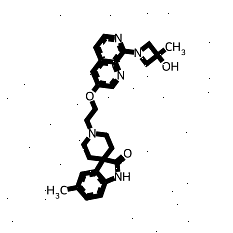 Cc1ccc2c(c1)C1(CCN(CCOc3cnc4c(N5CC(C)(O)C5)nccc4c3)CC1)C(=O)N2